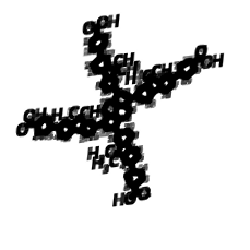 CC1(C)c2cc(-c3ccc(C(=O)O)cc3)ccc2-c2ccc(-c3cc(-c4ccc5c(c4)C(C)(C)c4cc(-c6ccc(C(=O)O)cc6)ccc4-5)c4c5c3CCc3c(-c6ccc7c(c6)C(C)(C)c6cc(-c8ccc(C(=O)O)cc8)ccc6-7)cc(-c6ccc7c(c6)C(C)(C)c6cc(-c8ccc(C(=O)O)cc8)ccc6-7)c(c3-5)CC4)cc21